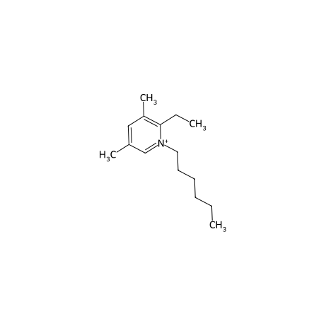 CCCCCC[n+]1cc(C)cc(C)c1CC